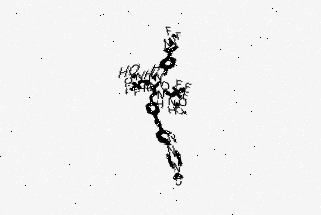 COC(=O)NC(C(=O)NC(Cc1ccc(C#Cc2ccc(N3CCN(C4COC4)CC3)nc2)cc1)C(O)CN(Cc1ccc(-c2cnn(C(F)F)c2)cc1)NC(=O)C(NC(=O)O)C(C)(C)C(F)(F)F)C(C)(C)C(F)(F)F